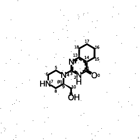 O=c1[nH]c(N2CCNC[C@@H]2CO)nc2c1CCCC2